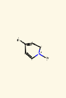 CC(C)C1=CCN(C(C)C)C=C1